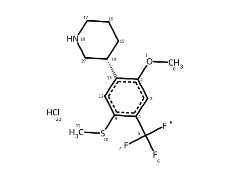 COc1cc(C(F)(F)F)c(SC)cc1[C@H]1CCCNC1.Cl